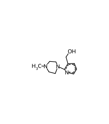 CN1CCN(c2ncccc2CO)CC1